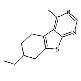 CCC1CCc2c(sc3ncnc(C)c23)C1